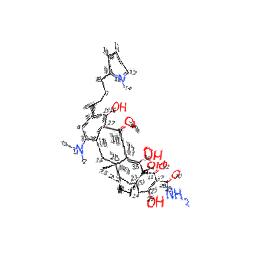 CN(C)c1cc(CCCc2cccn2C)c(O)c2c1C[C@@]1(C)C[C@H]3CC(O)=C(C(N)=O)C(=O)[C@@]3(O)C(O)=C1C2=O